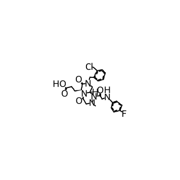 CN1CC(=O)N2[C@@H](CCC(=O)O)C(=O)N(Cc3ccccc3Cl)C[C@@H]2N1C(=O)CNc1ccc(F)cc1